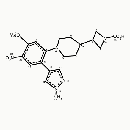 COc1cc(N2CCN(C3CN(C(=O)O)C3)CC2)c(-c2cnn(C)c2)cc1[N+](=O)[O-]